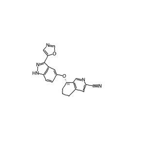 N#Cc1cc2c(cn1)[C@@H](Oc1ccc3[nH]nc(-c4cnco4)c3c1)CCC2